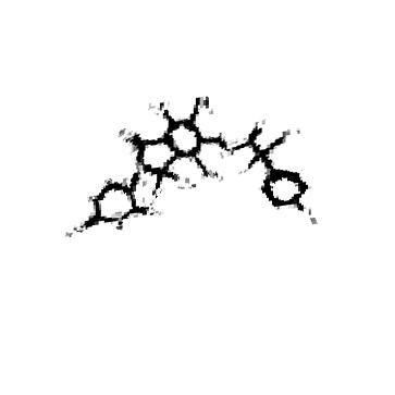 Bc1c(B)c2c(c(B)c1CNC(=O)C(F)(F)c1ccc(Cl)cc1)C(B)(B)N(C1CCC(=O)NC1=O)C2=O